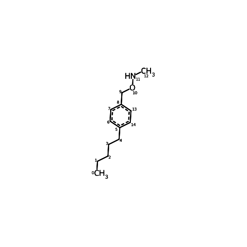 CCCCCc1ccc(CONC)cc1